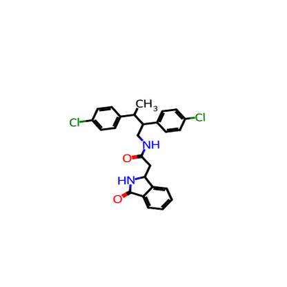 CC(c1ccc(Cl)cc1)C(CNC(=O)CC1NC(=O)c2ccccc21)c1ccc(Cl)cc1